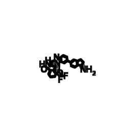 N[C@H]1CCc2cc(-c3ccc4nc5n(c4c3)[C@@H]3C[C@H]5NC(=O)c4cccc(OC(F)F)c43)ccc21